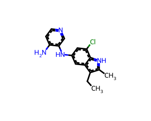 CCc1c(C)[nH]c2c(Cl)cc(Nc3cnccc3N)cc12